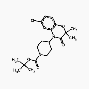 CC(C)(C)OC(=O)N1CCC(N2C(=O)C(C)(C)Oc3ccc(Cl)cc32)CC1